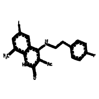 CC(=O)c1c(NCCc2ccc(F)cc2)c2cc(I)cc(C(F)(F)F)c2[nH]c1=O